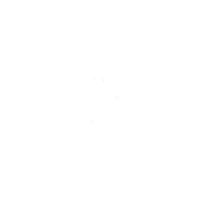 Cc1ccc(C(=O)c2nn(-c3ccc(Cl)cc3)c(NCCCSc3ccccc3)c2C#N)cc1